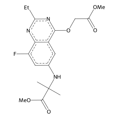 CCc1nc(OCC(=O)OC)c2cc(NC(C)(C)C(=O)OC)cc(F)c2n1